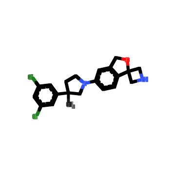 FC(F)(F)C1(c2cc(Cl)cc(Cl)c2)CCN(c2ccc3c(c2)COC32CNC2)C1